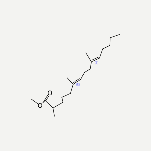 CCCC/C=C(\C)CC/C=C(\C)CCCC(C)C(=O)OC